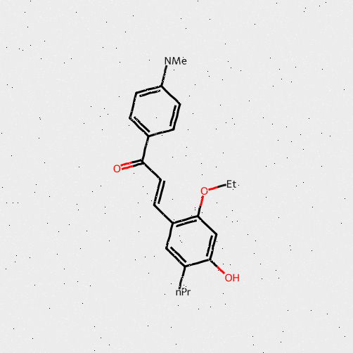 CCCc1cc(C=CC(=O)c2ccc(NC)cc2)c(OCC)cc1O